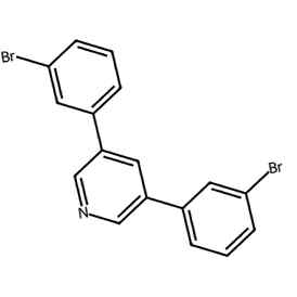 Brc1cccc(-c2cncc(-c3cccc(Br)c3)c2)c1